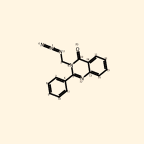 [N-]=[N+]=NCn1c(-c2ccccc2)nc2ccccc2c1=O